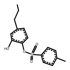 CCCc1ccc(OS(=O)(=O)c2ccc(C)cc2)c(O)c1